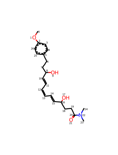 COc1ccc(CCC(O)/C=C/C=C\C=C\C(O)CCC(=O)N(C)C)cc1